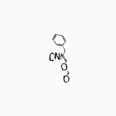 [C-]#[N+][C@H](COC=O)Cc1ccccc1